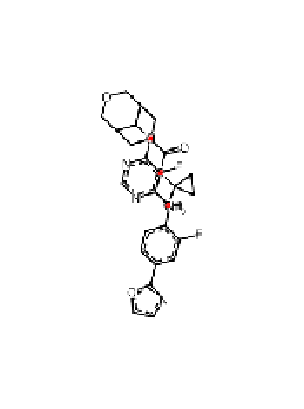 CC1(OC(=O)N2CC3COCC(C2)C3Oc2ncnc(Nc3ccc(-c4ncco4)cc3F)c2F)CC1